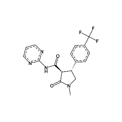 CN1C[C@@H](c2ccc(C(F)(F)F)cc2)[C@H](C(=O)Nc2ncccn2)C1=O